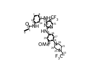 C=CC(=O)Nc1cccc(Nc2nc(Nc3ccc(N4CCN(CC(F)(F)F)CC4)c(OC)c3)ncc2C(F)(F)F)c1